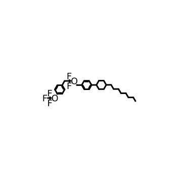 CCCCCCCCC1CCC(c2ccc(COC(F)(F)Cc3ccc(OC(F)(F)F)cc3)cc2)CC1